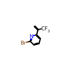 C=C(c1cccc(Br)n1)C(F)(F)F